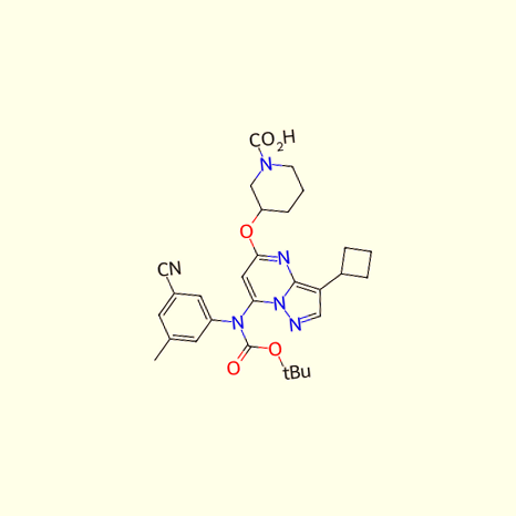 Cc1cc(C#N)cc(N(C(=O)OC(C)(C)C)c2cc(OC3CCCN(C(=O)O)C3)nc3c(C4CCC4)cnn23)c1